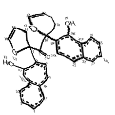 O=C(C1(c2ccc3ccccc3c2O)CC=CO1)C1(c2ccc3ccccc3c2O)CC=CO1